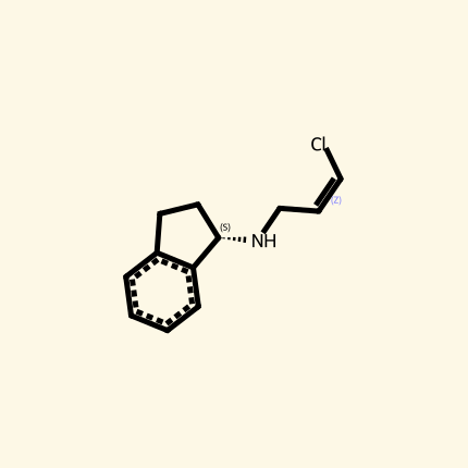 Cl/C=C\CN[C@H]1CCc2ccccc21